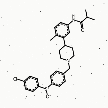 Cc1ccc(NC(=O)C(C)C)cc1C1CCN(Cc2ccc([S+]([O-])c3ccc(Cl)cc3)cc2)CC1